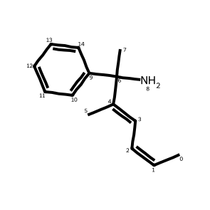 C/C=C\C=C(/C)C(C)(N)c1ccccc1